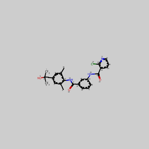 Cc1cc(C(O)(C(F)(F)F)C(F)(F)F)cc(C)c1NC(=O)c1cccc(NC(=O)c2cccnc2Cl)c1